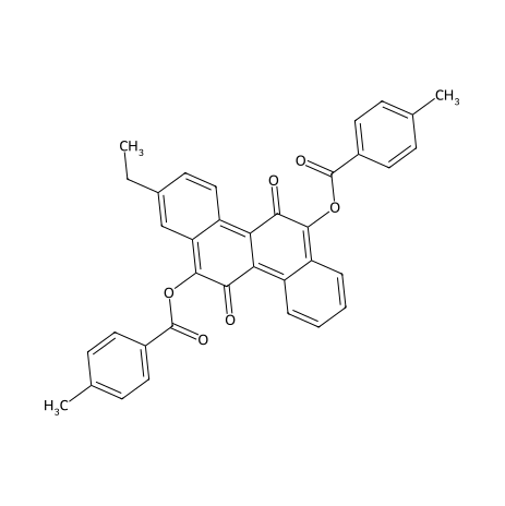 CCc1ccc2c(c1)=C(OC(=O)c1ccc(C)cc1)C(=O)C1=c3ccccc3=C(OC(=O)c3ccc(C)cc3)C(=O)C=21